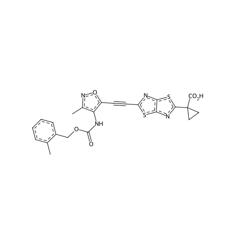 Cc1ccccc1COC(=O)Nc1c(C)noc1C#Cc1nc2sc(C3(C(=O)O)CC3)nc2s1